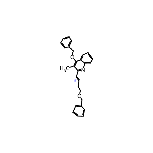 Cc1c(/C=C/CCOCc2ccccc2)nc2ccccc2c1OCc1ccccc1